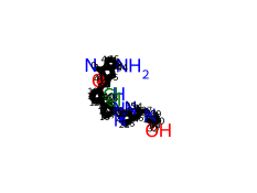 N#Cc1c2c(cc3cc(-c4cccc(-c5cccc(Nc6nccc7cc(CN8CC[C@@H](O)C8)cnc67)c5Cl)c4Cl)oc13)[C@H](N)CC2